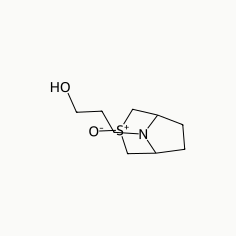 [O-][S+]1CC2CCC(C1)N2CCCO